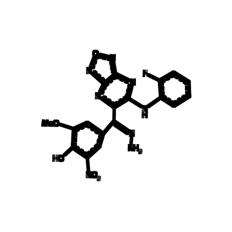 COc1cc(/C(=N\N)c2nc3nonc3nc2Nc2ccccc2F)cc([N+](=O)[O-])c1O